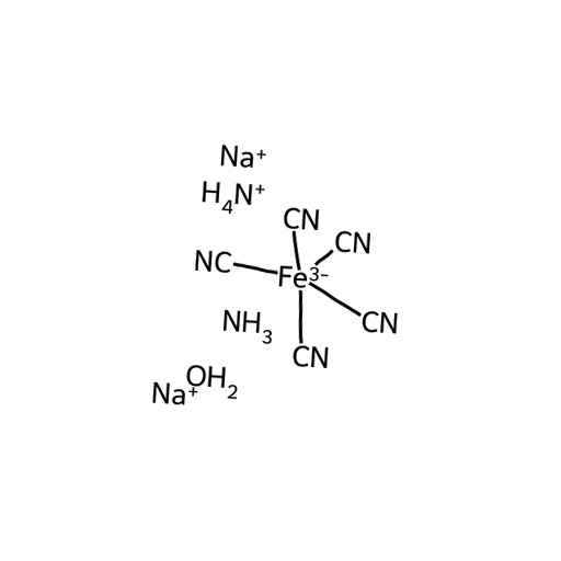 N.N#[C][Fe-3]([C]#N)([C]#N)([C]#N)[C]#N.O.[NH4+].[Na+].[Na+]